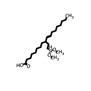 CCCCCCC/C=C/C(CCCCCCCC(=O)O)CC[SiH](OC)OC